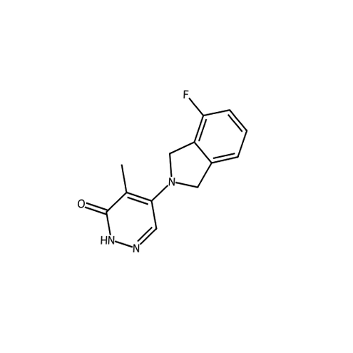 Cc1c(N2Cc3cccc(F)c3C2)cn[nH]c1=O